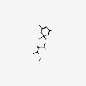 CC1=CC(=O)CC(C)(C)C1.CCC(=O)C(C)OC